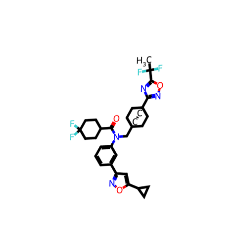 CC(F)(F)c1nc(C23CCC(CN(C(=O)C4CCC(F)(F)CC4)c4cccc(-c5cc(C6CC6)on5)c4)(CC2)CC3)no1